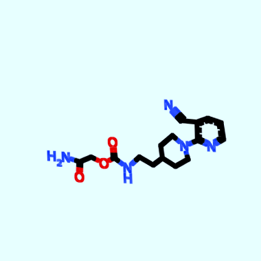 N#Cc1cccnc1N1CCC(CCNC(=O)OCC(N)=O)CC1